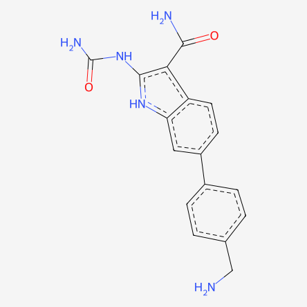 NCc1ccc(-c2ccc3c(C(N)=O)c(NC(N)=O)[nH]c3c2)cc1